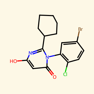 O=c1cc(O)nc(C2CCCCC2)n1-c1cc(Br)ccc1Cl